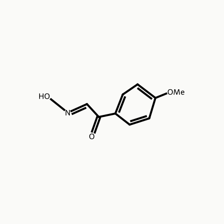 COc1ccc(C(=O)C=NO)cc1